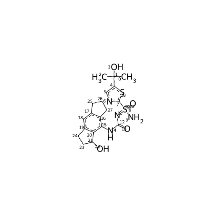 CC(C)(O)c1cnc([S@](N)(=O)=NC(=O)Nc2c3c(cc4c2C(O)CC4)CCC3)s1